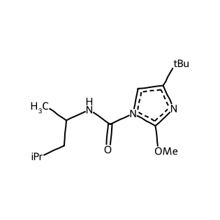 COc1nc(C(C)(C)C)cn1C(=O)NC(C)CC(C)C